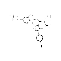 CS(=O)(=O)CC(=O)Nc1c(-c2ccc(C#N)cc2)nn2c1C(=O)N[C@]1(CCc3cc(OCC(F)(F)F)ccc31)C2